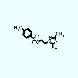 CC1=NN(CCOS(=O)(=O)c2ccc(C)cc2)C(C)S1